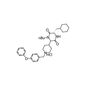 CCCCN1C(=O)[C@H](CC2CCCCC2)NC(=O)C1C1CCN(Cc2ccc(Oc3ccccc3)cc2)CC1.Cl